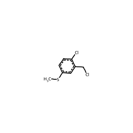 CSc1ccc(Cl)c(CCl)c1